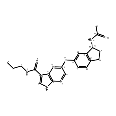 CCCNC(=O)c1c[nH]c2ncc(Oc3ccc4c(c3)[C@H](NC(C)=O)CC4)nc12